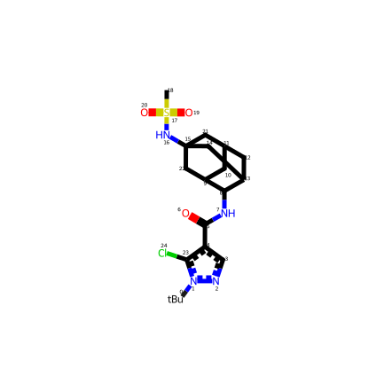 CC(C)(C)n1ncc(C(=O)NC2C3CC4CC2CC(NS(C)(=O)=O)(C4)C3)c1Cl